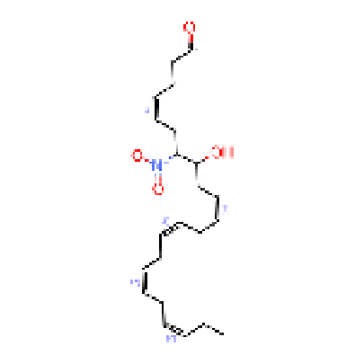 CC/C=C\C/C=C\C/C=C\C/C=C\CC(O)C(C/C=C\CC[C]=O)[N+](=O)[O-]